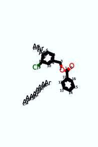 O=C(OCc1cccc(Cl)c1)c1ccccc1.[Ar].[Ar].[Ar].[Ar].[Ar].[Ar].[Ar].[Ar].[Ar].[Ar].[Ar]